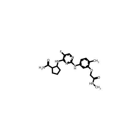 CNC(=O)COc1cc(Nc2ncc(F)c(NC3CCCC3C(N)=O)n2)ccc1C